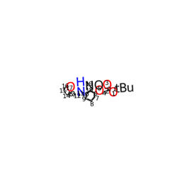 CC(C)(C)OC(=O)COc1cccc(NC[C@@H]2CCCO2)c1[N+](=O)[O-]